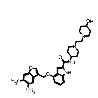 Cc1cc2occ(COc3cccc4[nH]c(C(=O)NC5CCN(CCN6CCC(O)CC6)CC5)cc34)c2cc1C